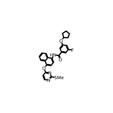 CSc1nccc(Oc2ccc(NC(=O)c3cc(F)cc(OC4CCCC4)c3)c3ccccc23)n1